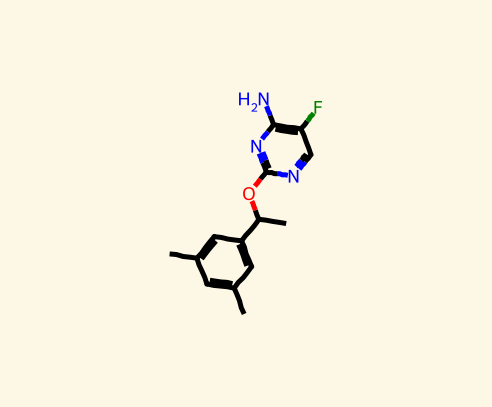 Cc1cc(C)cc(C(C)Oc2ncc(F)c(N)n2)c1